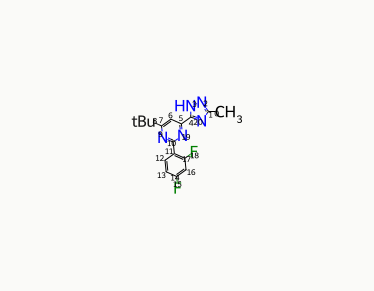 Cc1n[nH]c(-c2cc(C(C)(C)C)nc(-c3ccc(F)cc3F)n2)n1